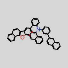 c1cc(-c2ccc3ccccc3c2)cc(N(c2ccccc2-c2ccc3oc4c5ccccc5ccc4c3c2)c2cccc3ccccc23)c1